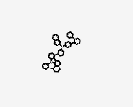 CC1CC=Cc2ccc3c4c(-c5cccc(N(c6ccc(-c7ccccc7-c7ccccc7)cc6)c6ccc7ccccc7c6)c5)cccc4n(-c4ccccc4)c3c21